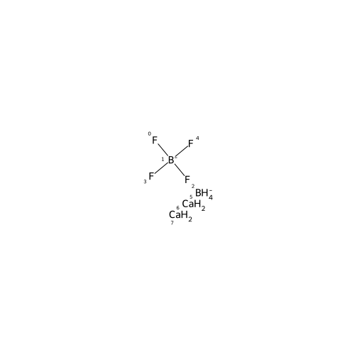 F[B-](F)(F)F.[BH4-].[CaH2].[CaH2]